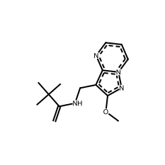 C=C(NCc1c(OC)nn2cccnc12)C(C)(C)C